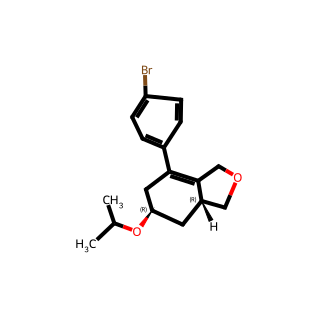 CC(C)O[C@H]1CC(c2ccc(Br)cc2)=C2COC[C@@H]2C1